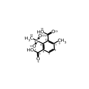 Cc1ccc(C(=O)O)c(S(C)(=O)=O)c1C(=O)O